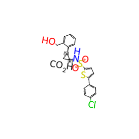 O=C(O)[C@@]1(NS(=O)(=O)c2ccc(-c3ccc(Cl)cc3)s2)C[C@H]1c1ccccc1CO